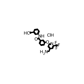 C#Cc1cccc(NC(=O)c2cccc(Oc3cc(CN)cc(C(F)(F)F)n3)c2)c1.Cl